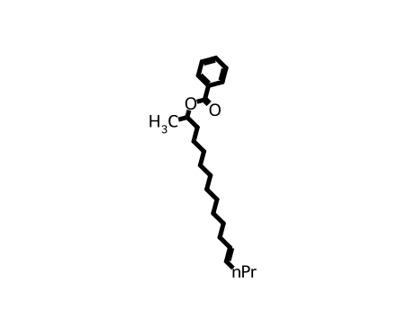 CCC/C=C/CCCCCCCCCCC(C)OC(=O)c1ccccc1